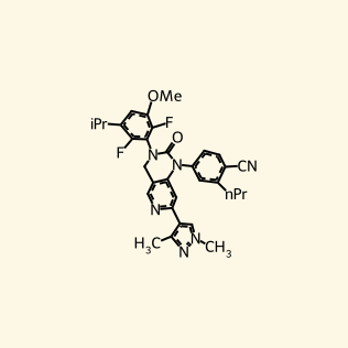 CCCc1cc(N2C(=O)N(c3c(F)c(OC)cc(C(C)C)c3F)Cc3cnc(-c4cn(C)nc4C)cc32)ccc1C#N